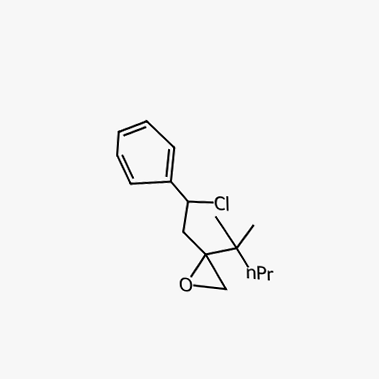 CCCC(C)(C)C1(CC(Cl)c2ccccc2)CO1